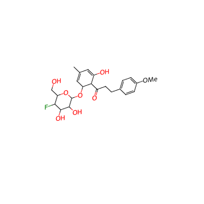 COc1ccc(CCC(=O)C2C(O)=CC(C)=CC2OC2OC(CO)C(F)C(O)C2O)cc1